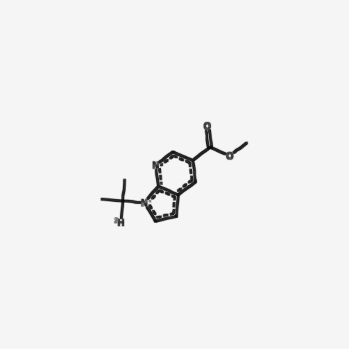 [2H]C(C)(C)n1ccc2cc(C(=O)OC)cnc21